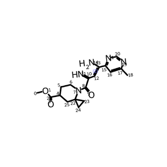 COC(=O)C1CCN(C(=O)C(=N)/C=C(\N)c2cc(C)ncn2)C2(CC2)C1